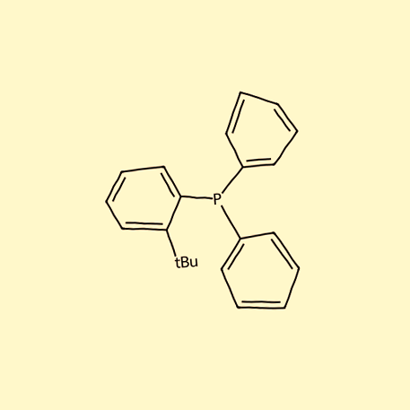 CC(C)(C)c1ccccc1P(c1ccccc1)c1ccccc1